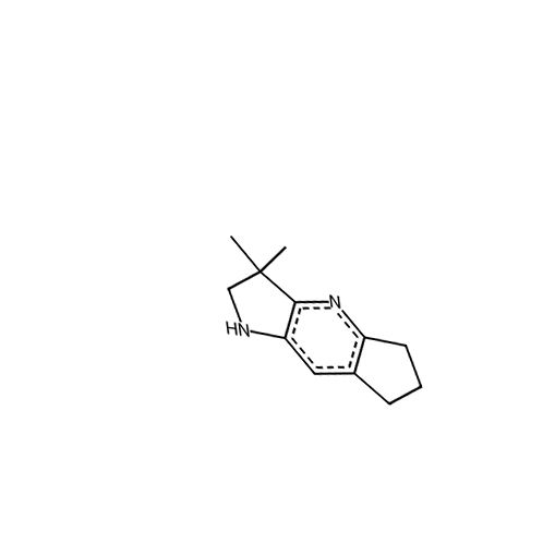 CC1(C)CNc2cc3c(nc21)CCC3